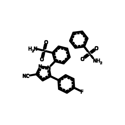 N#Cc1cc(-c2ccc(F)cc2)n(-c2ccccc2S(N)(=O)=O)n1.NS(=O)(=O)c1ccccc1